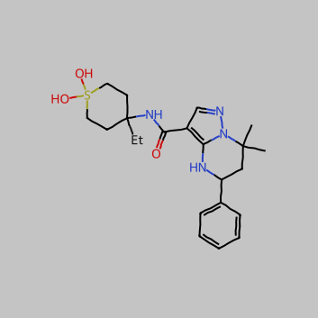 CCC1(NC(=O)c2cnn3c2NC(c2ccccc2)CC3(C)C)CCS(O)(O)CC1